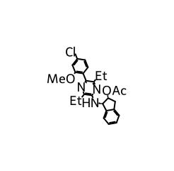 CCc1nc(-c2ccc(Cl)cc2OC)c(CC)nc1N[C@@H]1c2ccccc2C[C@@H]1OC(C)=O